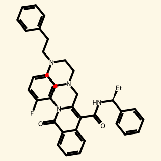 CC[C@H](NC(=O)c1c(CN2CCN(CCc3ccccc3)CC2)n(-c2ccccc2F)c(=O)c2ccccc12)c1ccccc1